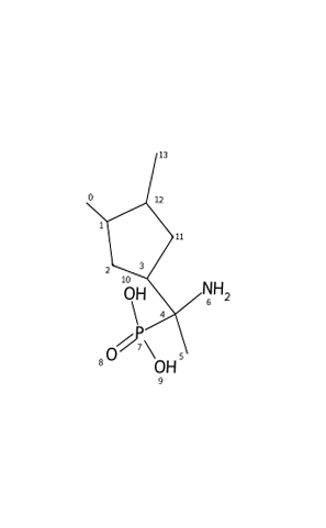 CC1CC(C(C)(N)P(=O)(O)O)CC1C